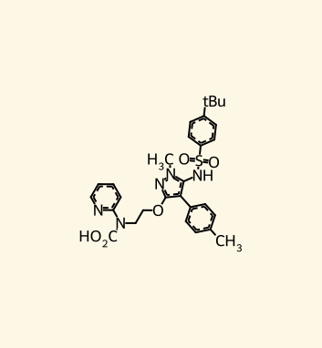 Cc1ccc(-c2c(OCCN(C(=O)O)c3ccccn3)nn(C)c2NS(=O)(=O)c2ccc(C(C)(C)C)cc2)cc1